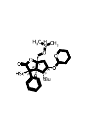 C[SiH](C)OC[C@]12C[C@@H](OC3CCCCO3)[C@H](C(C)(C)C)[C@H]1[C@]([SeH])(c1ccccc1)C(=O)O2